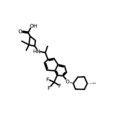 CC(NC1CC(C(=O)O)C1(C)C)c1ccc2c(C(F)(F)F)c(O[C@H]3CC[C@@H](C)CC3)ccc2c1